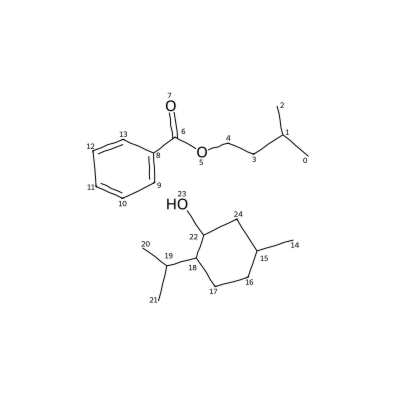 CC(C)CCOC(=O)c1ccccc1.CC1CCC(C(C)C)C(O)C1